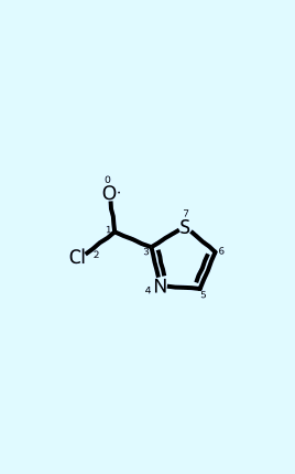 [O]C(Cl)c1nccs1